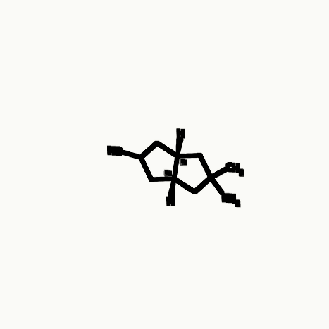 CC1(N)C[C@H]2CC(O)C[C@H]2C1